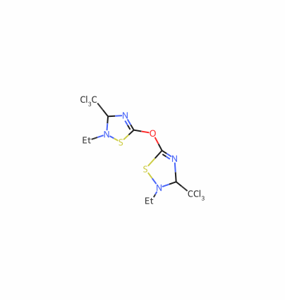 CCN1SC(OC2=NC(C(Cl)(Cl)Cl)N(CC)S2)=NC1C(Cl)(Cl)Cl